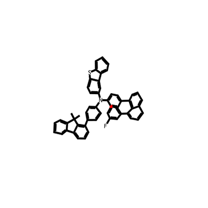 CC1(C)c2ccccc2-c2cccc(-c3ccc(N(c4ccc(-c5cccc6cccc(-c7cccc(F)c7)c56)cc4)c4ccc5sc6ccccc6c5c4)cc3)c21